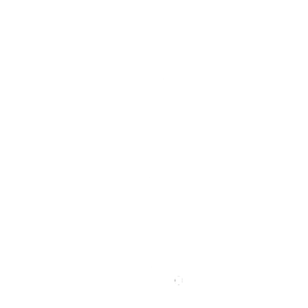 c1ccc2cc(-c3c4ccccc4c(-c4ccc5cc(-c6cc7c8ccccc8oc7c7ccccc67)ccc5c4)c4ccccc34)ccc2c1